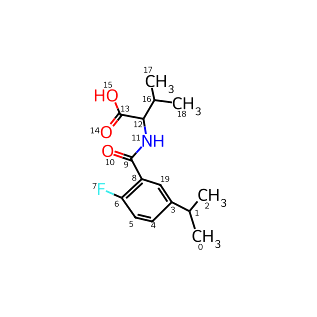 CC(C)c1ccc(F)c(C(=O)NC(C(=O)O)C(C)C)c1